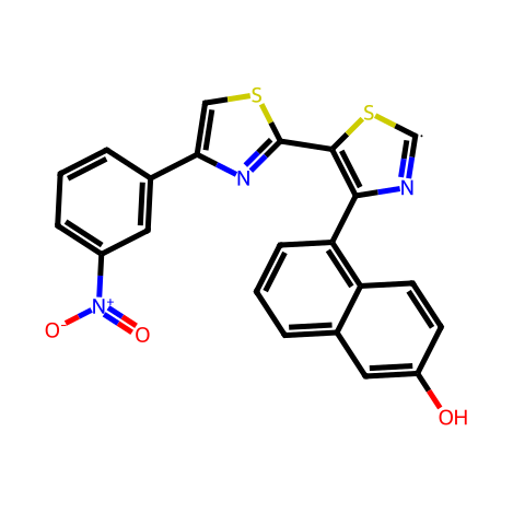 O=[N+]([O-])c1cccc(-c2csc(-c3s[c]nc3-c3cccc4cc(O)ccc34)n2)c1